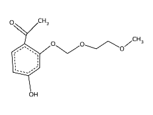 COCCOCOc1cc(O)ccc1C(C)=O